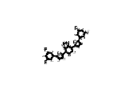 Fc1cc(F)cc(-c2ccc(-c3ccc(-c4ccc(-c5cc(F)cc(F)c5)o4)c4nsnc34)o2)c1